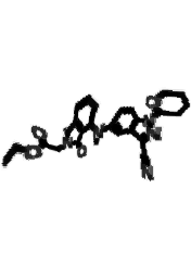 CCOC(=O)CN1Cc2cccc(N(C)c3ccc4c(c3)c(C#N)nn4C3CCCCO3)c2C1=O